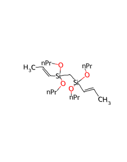 CC=C[Si](C[Si](C=CC)(OCCC)OCCC)(OCCC)OCCC